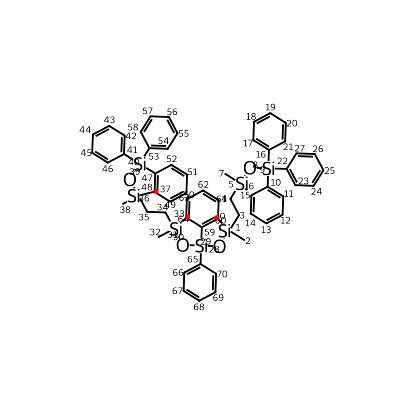 C[Si](C)(CC[Si](C)(C)O[Si](c1ccccc1)(c1ccccc1)c1ccccc1)O[Si](O[Si](C)(C)CC[Si](C)(C)O[Si](c1ccccc1)(c1ccccc1)c1ccccc1)(c1ccccc1)c1ccccc1